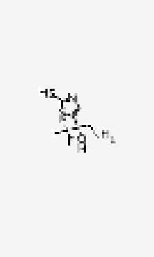 CC[C@](O)(c1cnc(S)s1)C(F)(F)F